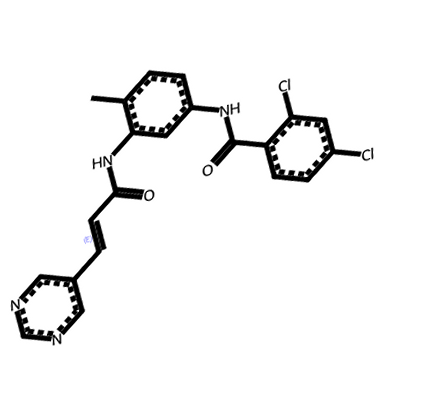 Cc1ccc(NC(=O)c2ccc(Cl)cc2Cl)cc1NC(=O)/C=C/c1cncnc1